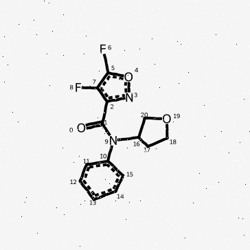 O=C(c1noc(F)c1F)N(c1ccccc1)C1CCOC1